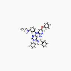 CN(C(=O)O)c1cccc(Nc2ncnc(N(Cc3ccccc3)Cc3ccccc3)c2Nc2ccc(Oc3ccccc3)cn2)c1